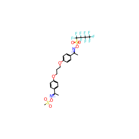 C/C(=N\OS(C)(=O)=O)c1ccc(OCCCOc2ccc(/C(C)=N/OS(=O)(=O)C(F)(F)C(F)(F)C(F)(F)C(F)(F)F)cc2)cc1